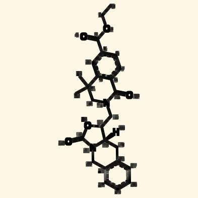 CCOC(=O)c1ccc2c(c1)C(C)(C)CN(CC1OC(=O)N3Cc4ccccc4C[C@@H]13)C2=O